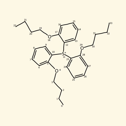 CCCCOc1ccccc1[S+](c1ccccc1OCCCC)c1ccccc1OCCCC